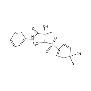 CC(O)(C(=O)Nc1ccccc1)C(C(F)(F)F)S(=O)(=O)C1=CCC(F)(C#N)C=C1